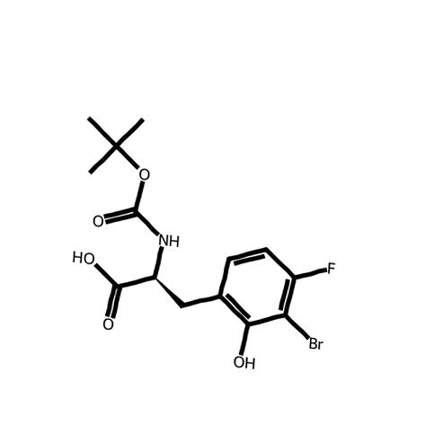 CC(C)(C)OC(=O)N[C@@H](Cc1ccc(F)c(Br)c1O)C(=O)O